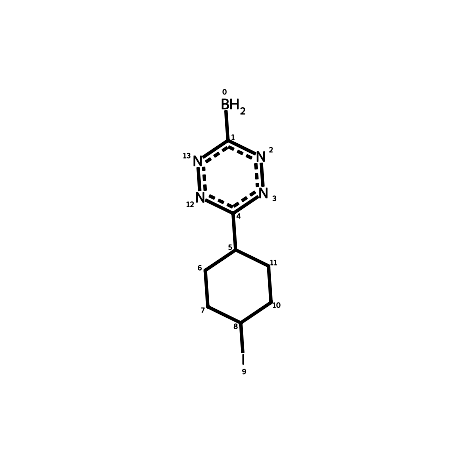 Bc1nnc(C2CCC(I)CC2)nn1